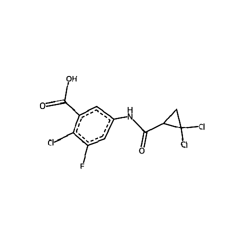 O=C(O)c1cc(NC(=O)C2CC2(Cl)Cl)cc(F)c1Cl